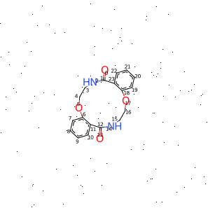 O=C1NCCOc2ccccc2C(=O)NCCOc2ccccc21